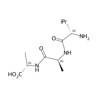 CC(C)[C@H](N)C(=O)N[C@@H](C)C(=O)N[C@@H](C)C(=O)O